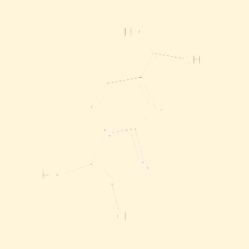 Cc1nc2cc(C(C)C)ccn2c1C